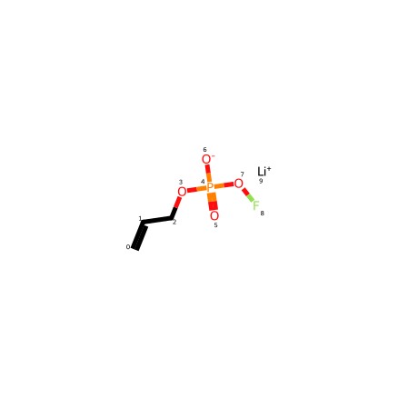 C=CCOP(=O)([O-])OF.[Li+]